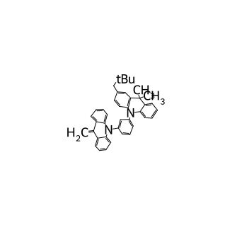 C=C1c2ccccc2N(c2cccc(N3c4ccccc4C(C)(C)c4cc(CC(C)(C)C)ccc43)c2)c2ccccc21